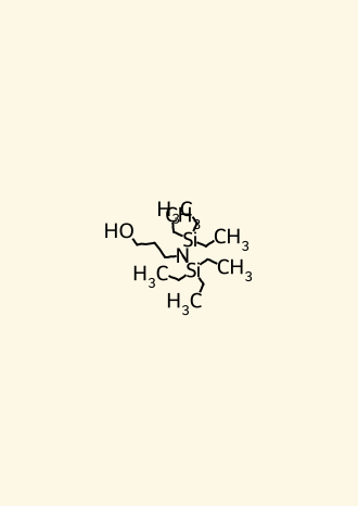 CC[Si](CC)(CC)N(CCCO)[Si](CC)(CC)CC